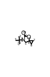 CC(C)(C)N1CC2(CC2)OC1=O